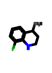 O=C(O)C1CCNc2c(F)cccc21